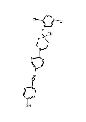 Oc1ccc(C#Cc2ccc(N3CCC(O)(Cc4cc(Cl)ccc4Cl)CC3)nn2)cc1